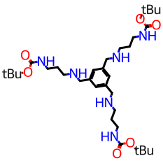 CC(C)(C)OC(=O)NCCCNCc1cc(CNCCCNC(=O)OC(C)(C)C)cc(CNCCCNC(=O)OC(C)(C)C)c1